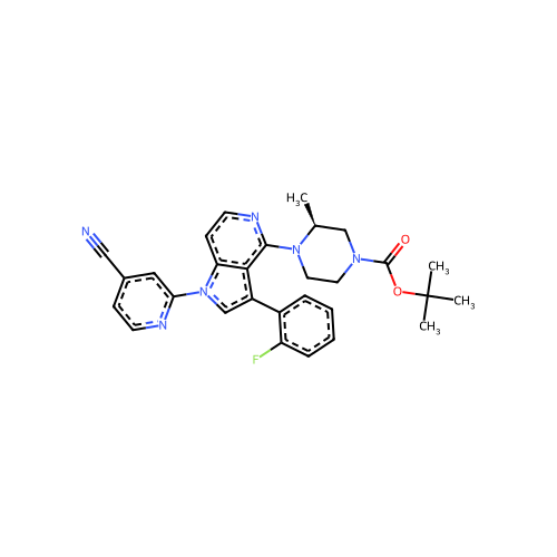 C[C@H]1CN(C(=O)OC(C)(C)C)CCN1c1nccc2c1c(-c1ccccc1F)cn2-c1cc(C#N)ccn1